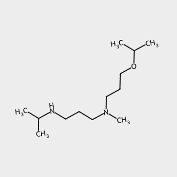 CC(C)NCCCN(C)CCCOC(C)C